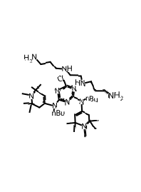 CCCCN(C1=CC(C)(C)N(C)C(C)(C)C1)c1nc(Cl)nc(N(CCCC)C2=CC(C)(C)N(C)C(C)(C)C2)n1.NCCCNCCNCCCN